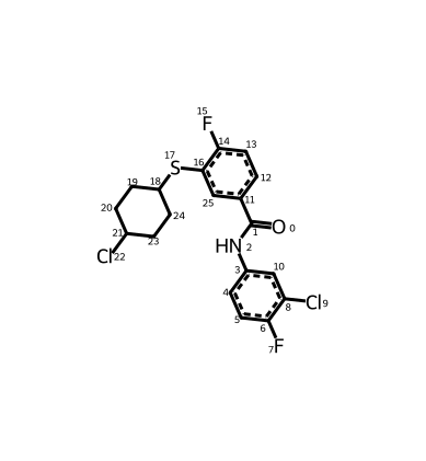 O=C(Nc1ccc(F)c(Cl)c1)c1ccc(F)c(SC2CCC(Cl)CC2)c1